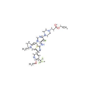 CCOC(=O)CCN1CCN(c2ncnc(Nc3nc(-c4cnc(OC)c(C(F)(F)F)c4)c(CN4[C@H](C)CC[C@H]4C)s3)c2F)CC1